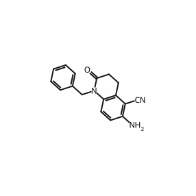 N#Cc1c(N)ccc2c1CCC(=O)N2Cc1ccccc1